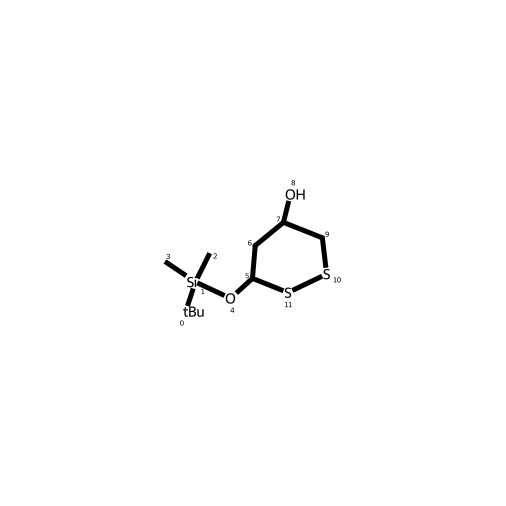 CC(C)(C)[Si](C)(C)OC1CC(O)CSS1